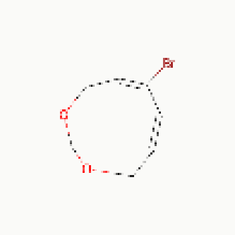 BrC1=C/COCOC/C=C\1